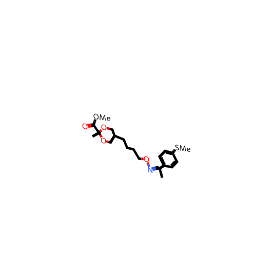 COC(=O)C1(C)OCC(CCCCON=C(C)c2ccc(SC)cc2)CO1